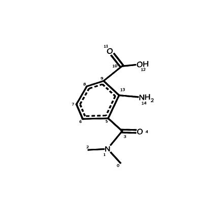 CN(C)C(=O)c1cccc(C(=O)O)c1N